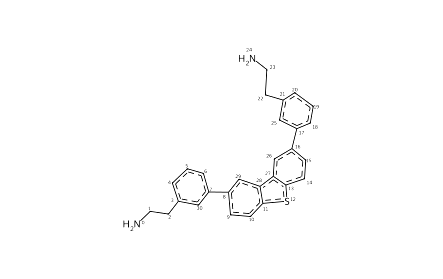 NCCc1cccc(-c2ccc3sc4ccc(-c5cccc(CCN)c5)cc4c3c2)c1